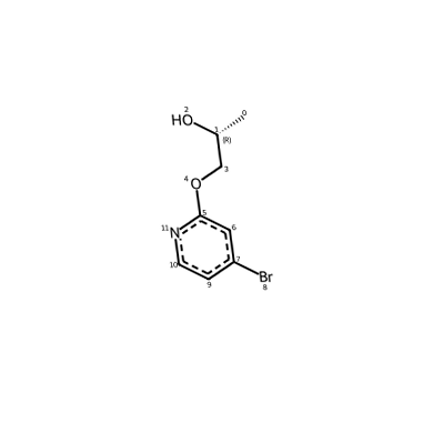 C[C@@H](O)COc1cc(Br)ccn1